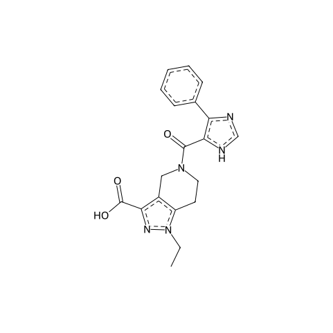 CCn1nc(C(=O)O)c2c1CCN(C(=O)c1[nH]cnc1-c1ccccc1)C2